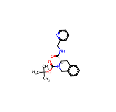 CC(C)(C)OC(=O)N1Cc2ccccc2C[C@H]1C(=O)NCc1ccccn1